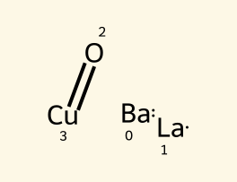 [Ba].[La].[O]=[Cu]